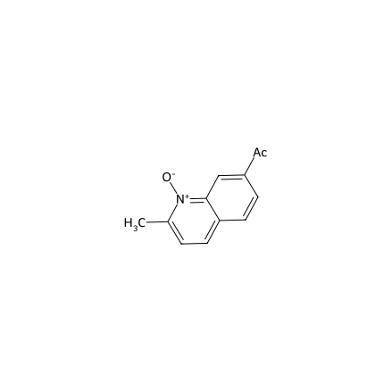 CC(=O)c1ccc2ccc(C)[n+]([O-])c2c1